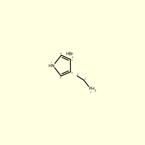 Br.CCP.c1cc[nH]c1